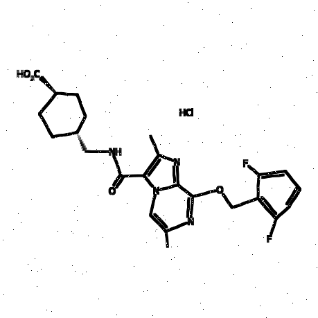 Cc1cn2c(C(=O)NC[C@H]3CC[C@H](C(=O)O)CC3)c(C)nc2c(OCc2c(F)cccc2F)n1.Cl